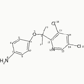 CC(C)(Oc1ccc(N)cc1)c1ncc(Cl)cc1Cl